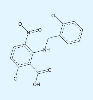 O=C(O)c1c(Cl)ccc([N+](=O)[O-])c1NCc1ccccc1Cl